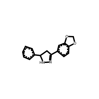 c1ccc(C2CC(c3ccc4c(c3)OCO4)=NN2)cc1